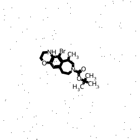 CC1CN(C(=O)OC(C)(C)C)CCc2cc3c(c(Br)c21)NCCO3